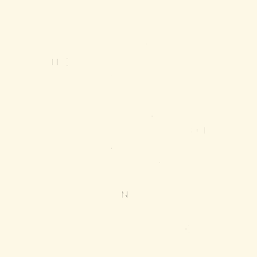 Cc1ccccc1CCOc1ncc(Cl)cc1C(=O)O